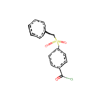 O=C(Cl)c1ccc(S(=O)(=O)Cc2ccccc2)cc1